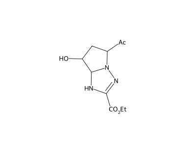 CCOC(=O)C1=NN2C(C(C)=O)CC(O)C2N1